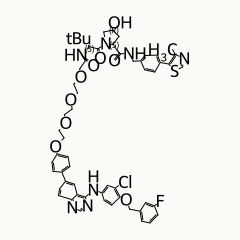 Cc1ncsc1-c1ccc(CNC(=O)[C@@H]2C[C@@H](O)CN2C(=O)[C@@H](NC(=O)COCCOCCOCCOc2ccc(-c3ccc4ncnc(Nc5ccc(OCc6cccc(F)c6)c(Cl)c5)c4c3)cc2)C(C)(C)C)cc1